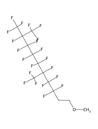 COCCC(F)(F)C(F)(F)C(F)(C(F)(F)F)C(F)(F)C(F)(F)C(F)(F)C(F)(C(F)(F)F)C(F)(F)F